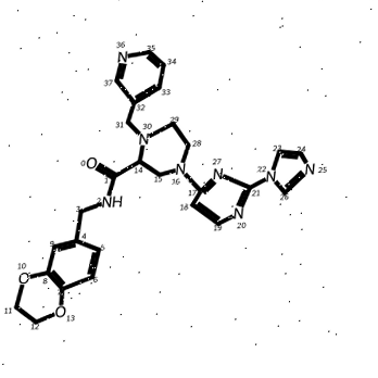 O=C(NCc1ccc2c(c1)OCCO2)C1CN(c2ccnc(-n3ccnc3)n2)CCN1Cc1cccnc1